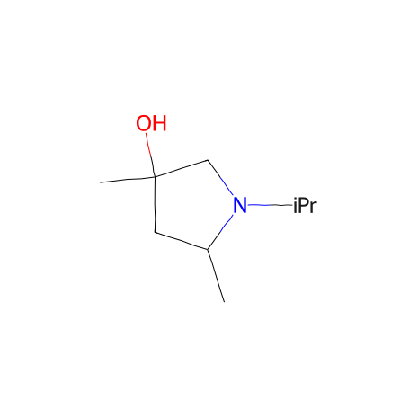 CC(C)N1CC(C)(O)CC1C